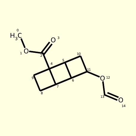 COC(=O)C12C3C4C1C1C2C3C41OC=O